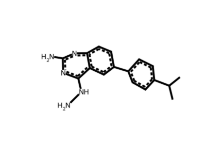 CC(C)c1ccc(-c2ccc3nc(N)nc(NN)c3c2)cc1